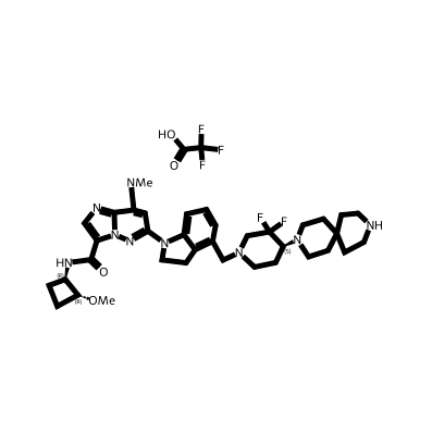 CNc1cc(N2CCc3c(CN4CC[C@H](N5CCC6(CCNCC6)CC5)C(F)(F)C4)cccc32)nn2c(C(=O)N[C@@H]3CC[C@H]3OC)cnc12.O=C(O)C(F)(F)F